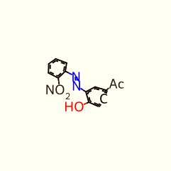 CC(=O)c1ccc(O)c(N=Nc2ccccc2[N+](=O)[O-])c1